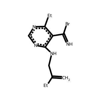 C=C(CC)CNc1ncnc(CC)c1C(=N)Br